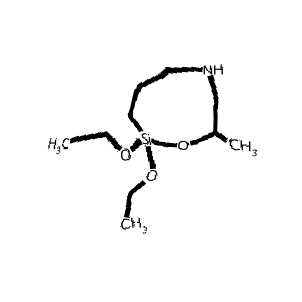 CCO[Si]1(OCC)CCCNCC(C)O1